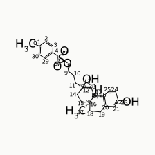 Cc1ccc(S(=O)(=O)OCCC[C@@]2(O)CC[C@]3(C)CCc4cc(O)ccc4[C@H]3C2)cc1